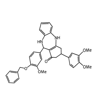 COc1ccc(C2CC(=O)C3=C(C2)Nc2ccccc2NC3c2ccc(OCc3ccccc3)c(OC)c2)cc1OC